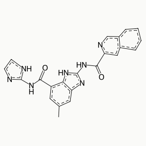 Cc1cc(C(=O)Nc2ncc[nH]2)c2[nH]c(NC(=O)c3cc4ccccc4cn3)nc2c1